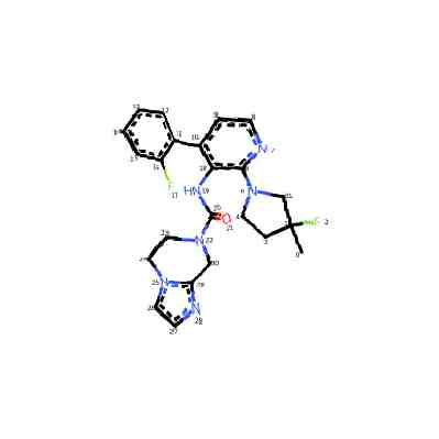 CC1(F)CCN(c2nccc(-c3ccccc3F)c2NC(=O)N2CCn3ccnc3C2)C1